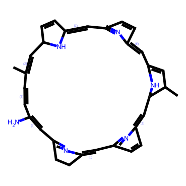 CC1=C/C2C=C/C(=C/C3=NC(=C/C4=CC(C)C(/C=C5/C=CC(=N5)/C=C5\CCC(=N5)\C=C(N)/C=C\1)N4)/C=C3)N2